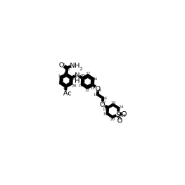 CC(=O)c1ccc(C(N)=O)c(Nc2ccc(OCCOC3CCS(=O)(=O)CC3)cc2)c1